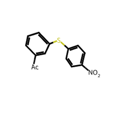 CC(=O)c1cccc(Sc2ccc([N+](=O)[O-])cc2)c1